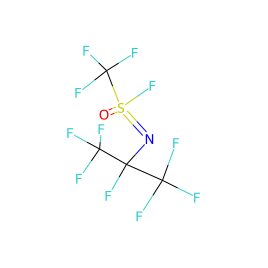 O=S(F)(=NC(F)(C(F)(F)F)C(F)(F)F)C(F)(F)F